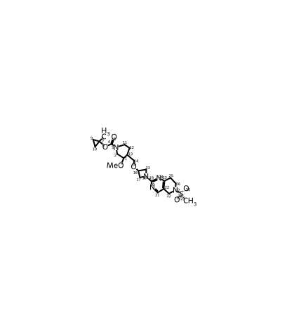 COC1CN(C(=O)OC2(C)CC2)CCC1COC1CN(c2ncc3c(n2)CCN(S(C)(=O)=O)C3)C1